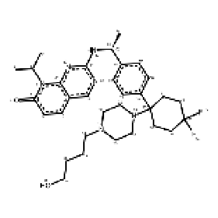 CC(C)n1c(=O)ccc2cnc(N[C@@H](C)c3ccc(C4(N5CCN(CCCCO)CC5)CCC(F)(F)CC4)cc3)nc21